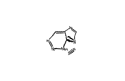 C#N.c1nc2cnn[nH]c-2n1